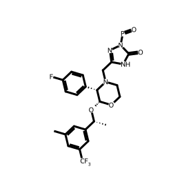 Cc1cc([C@@H](C)O[C@H]2OCCN(Cc3nn(P=O)c(=O)[nH]3)[C@H]2c2ccc(F)cc2)cc(C(F)(F)F)c1